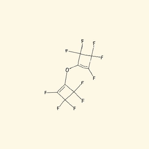 FC1=C(OC2=C(F)C(F)(F)C2(F)F)C(F)(F)C1(F)F